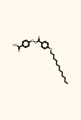 CCCCCCCCCCCCOc1ccc(C(=O)SOc2ccc(C(=O)O)cc2)cc1